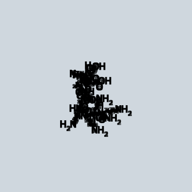 CC(C)[C@H](NC(=O)[C@H](CCC(=O)O)NC(=O)[C@H](CC(=O)O)NC(=O)CN=[N+]=[N-])C(=O)N[C@@H](CC(=O)O)C(=O)NCC(=O)N[C@@H](CCCCN)C(=O)N[C@@H](CCCCN)C(=O)N[C@@H](CCCCN)C(=O)N[C@@H](CCCCN)C(N)=O